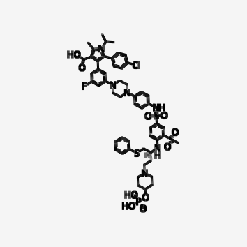 Cc1c(C(=O)O)c(-c2cc(F)cc(N3CCN(c4ccc(NS(=O)(=O)c5ccc(N[C@H](CCN6CCC(OP(=O)(O)O)CC6)CSc6ccccc6)c(S(C)(=O)=O)c5)cc4)CC3)c2)c(-c2ccc(Cl)cc2)n1C(C)C